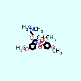 COc1ccc(S(=O)(=O)n2c(C)c(OCCN(C)C)c3cc(OC)ccc32)c(OC)c1